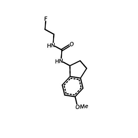 COc1ccc2c(c1)CCC2NC(=O)NCCF